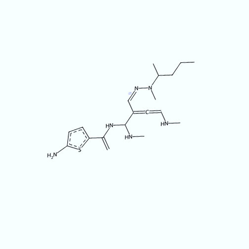 C=C(NC(NC)C(=C=CNC)/C=N\N(C)C(C)CCC)c1ccc(N)s1